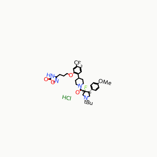 COc1ccc([C@@H]2CN(C(C)(C)C)C[C@@]2(F)C(=O)N2CCC(c3ccc(C(F)(F)F)cc3OCCCc3noc(=O)[nH]3)CC2)cc1.Cl